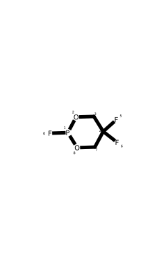 FP1OCC(F)(F)CO1